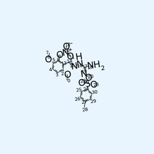 COc1ccc(OC)c(O[N+](=O)[O-])c1C=NNC(N)=NOS(=O)(=O)c1ccc(C)cc1